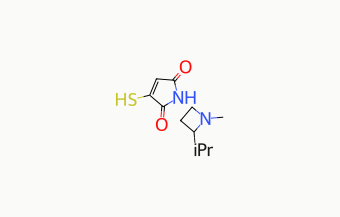 CC(C)C1CCN1C.O=C1C=C(S)C(=O)N1